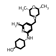 C[C@@H]1CN(Cc2cc(N)nc(N[C@H]3CC[C@H](O)CC3)c2)C[C@H](C)O1